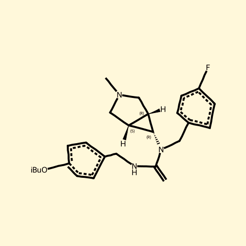 C=C(NCc1ccc(OCC(C)C)cc1)N(Cc1ccc(F)cc1)[C@@H]1[C@@H]2CN(C)C[C@@H]21